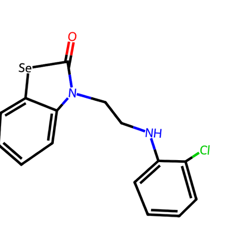 O=c1[se]c2ccccc2n1CCNc1ccccc1Cl